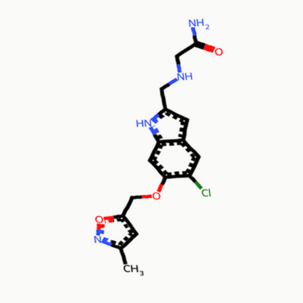 Cc1cc(COc2cc3[nH]c(CNCC(N)=O)cc3cc2Cl)on1